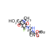 CC1COc2c(N3CCC(C(CC#N)NCC(=O)OC(C)(C)C)C3)c(F)cc3c(=O)c(C(=O)O)cn1c23